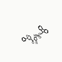 O=C(N[C@@H]1CN[C@H](C(=O)N2CCO[C@H](c3ccccc3)C2)C1)OCC1c2ccccc2-c2ccccc21